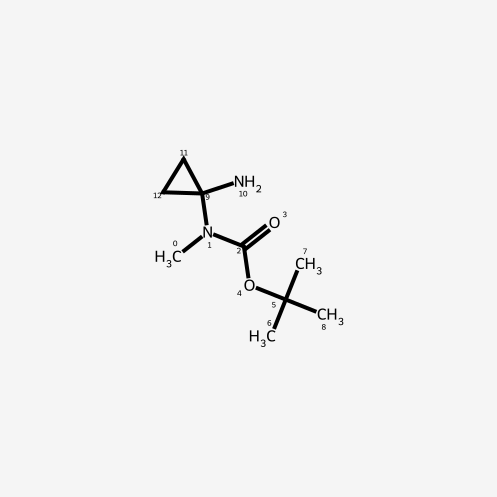 CN(C(=O)OC(C)(C)C)C1(N)CC1